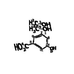 CO.CO.O=C(O)c1cccc(O)c1